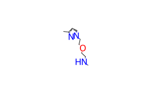 CNCCOCCn1ccc(C)n1